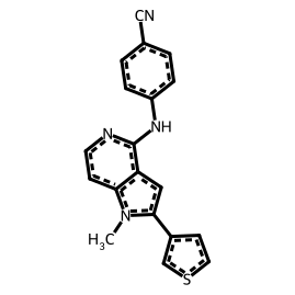 Cn1c(-c2ccsc2)cc2c(Nc3ccc(C#N)cc3)nccc21